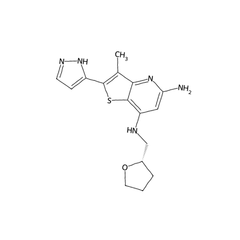 Cc1c(-c2ccn[nH]2)sc2c(NC[C@@H]3CCCO3)cc(N)nc12